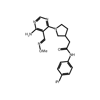 CON=Cc1c(N)ncnc1N1CCC(CC(=O)Nc2ccc(C(C)C)cc2)C1